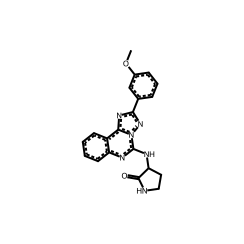 COc1cccc(-c2nc3c4ccccc4nc(NC4CCNC4=O)n3n2)c1